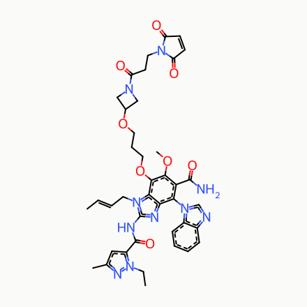 CC=CCn1c(NC(=O)c2cc(C)nn2CC)nc2c(-n3cnc4ccccc43)c(C(N)=O)c(OC)c(OCCCOC3CN(C(=O)CCN4C(=O)C=CC4=O)C3)c21